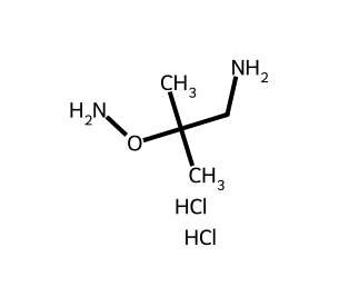 CC(C)(CN)ON.Cl.Cl